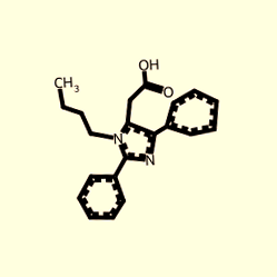 CCCCn1c(-c2ccccc2)nc(-c2ccccc2)c1CC(=O)O